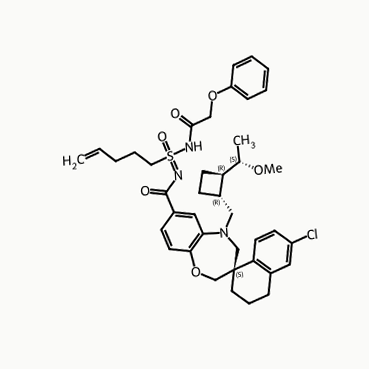 C=CCCCS(=O)(=NC(=O)c1ccc2c(c1)N(C[C@@H]1CC[C@H]1[C@H](C)OC)C[C@@]1(CCCc3cc(Cl)ccc31)CO2)NC(=O)COc1ccccc1